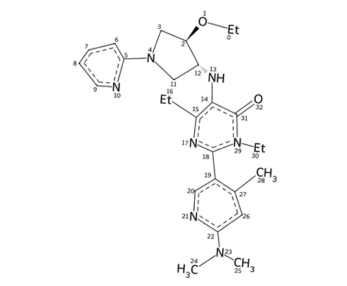 CCO[C@@H]1CN(c2ccccn2)C[C@H]1Nc1c(CC)nc(-c2cnc(N(C)C)cc2C)n(CC)c1=O